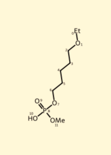 CCOCCCCCOP(=O)(O)OC